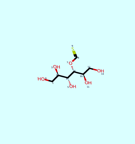 OC[C@@H](O)[C@@H](O)[C@H](OC=S)[C@H](O)CO